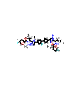 CC(C)[C@H](NC(=O)[C@@]1(C)CCC(F)(F)CO1)c1nc(-c2ccc(-c3ccc(-c4c[nH]c([C@@H](NC(=O)[C@@]5(C)CCC(F)(F)CO5)C(C)C)n4)cc3F)cc2)c[nH]1